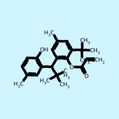 C=CC(=O)Oc1c(C(c2cc(C)ccc2O)C(C)(C)C)cc(C)cc1C(C)(C)C